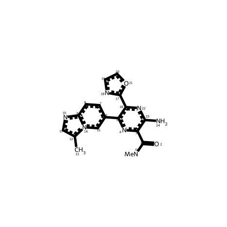 CNC(=O)c1nc(-c2ccc3ncc(C)n3c2)c(-c2ncco2)nc1N